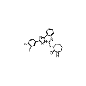 O=C1NCCCC[C@H]1Nc1nc2ccccc2c2nc(-c3ccc(F)c(F)c3)nn12